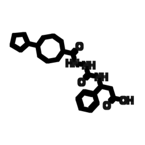 O=C(O)CC(NC(=O)NNC(=O)C1CCCC(C2CCCC2)CCC1)c1ccccc1